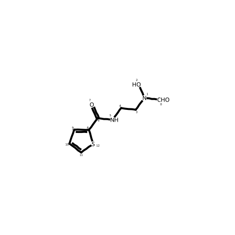 O=CN(O)CCNC(=O)c1[c]ccs1